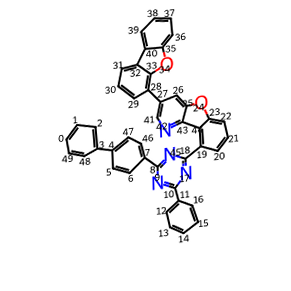 c1ccc(-c2ccc(-c3nc(-c4ccccc4)nc(-c4cccc5oc6cc(-c7cccc8c7oc7ccccc78)cnc6c45)n3)cc2)cc1